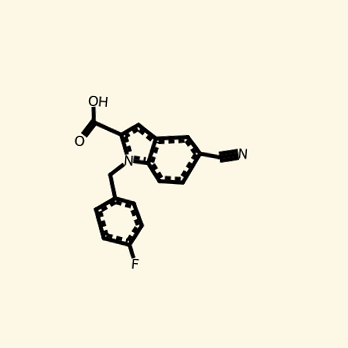 N#Cc1ccc2c(c1)cc(C(=O)O)n2Cc1ccc(F)cc1